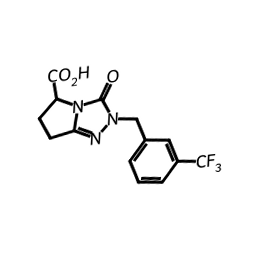 O=C(O)C1CCc2nn(Cc3cccc(C(F)(F)F)c3)c(=O)n21